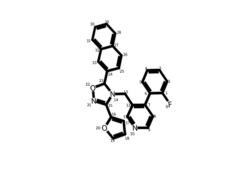 Fc1ccccc1-c1ccncc1CN1C(c2ccco2)=NOC1c1ccc2ccccc2c1